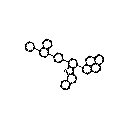 c1ccc(-c2ccc(-c3ccc(-c4ccc(-c5ccc6ccc7cccc8ccc5c6c78)c5c4oc4c6ccccc6ccc45)cc3)c3ccccc23)cc1